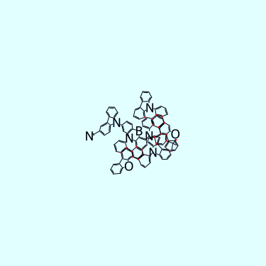 CC(C)(C)c1ccc(N2c3cc(-c4c(-c5ccc6c(c5)oc5ccccc56)cccc4-n4c5ccccc5c5ccccc54)ccc3B3c4ccc(-n5c6ccccc6c6cc(C#N)ccc65)cc4N(c4ccccc4-c4ccccc4)c4cc(-c5c(-c6cccc7c6oc6ccccc67)cccc5-n5c6ccccc6c6ccccc65)cc2c43)c(-c2ccccc2)c1